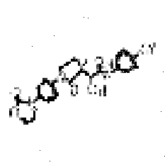 N#Cc1ccc(NC(=O)[C@H](O)[C@H]2OCCN(c3ccc(N4CCOC4=O)cc3)C2=O)cc1